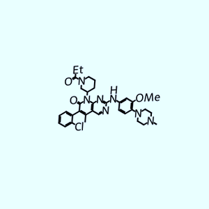 CCC(=O)N1CCCC(n2c(=O)c(-c3ccccc3Cl)c(C)c3cnc(Nc4ccc(N5CCN(C)CC5)c(OC)c4)nc32)C1